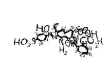 Nc1c(N=Nc2ccc(S(=O)(=O)O)cc2)c(S(=O)(=O)O)cc2cc(SOOO)c(N=Nc3ccccc3C(=O)O)c(O)c12